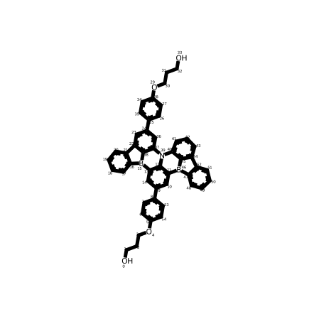 OCCCOc1ccc(-c2cc3c4c(c2)B2c5ccccc5-c5cc(-c6ccc(OCCCO)cc6)cc(c52)N4c2cccc4c2B3c2ccccc2-4)cc1